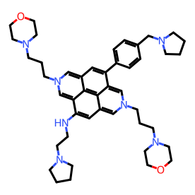 C1=c2cc(-c3ccc(CN4CCCC4)cc3)c3c4c(cc(NCCN5CCCC5)c(c24)=CN1CCCN1CCOCC1)=CN(CCCN1CCOCC1)C=3